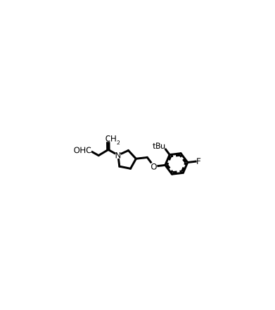 C=C(CC=O)N1CCC(COc2ccc(F)cc2C(C)(C)C)C1